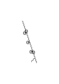 CCCCCCCCCOC(=O)CCCCCCCC(=O)CCCCCCCC(=O)OCCCCC(CCCC)CCCC